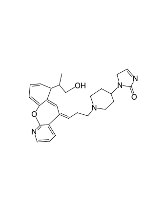 CC(CO)C1C=CC=C2Oc3ncccc3C(=CCCN3CCC(N4CC=NC4=O)CC3)C=C21